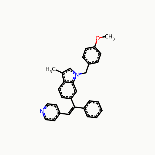 COc1ccc(Cn2cc(C)c3ccc(/C(=C\c4ccncc4)c4ccccc4)cc32)cc1